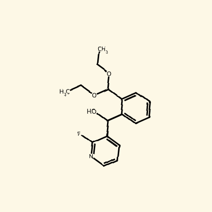 CCOC(OCC)c1ccccc1C(O)c1cccnc1F